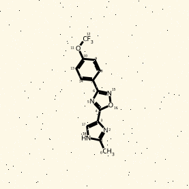 Cc1nc(-c2nc(-c3ccc(OC(F)(F)F)cc3)no2)c[nH]1